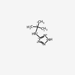 CC(C)(C)Bc1nn[nH]n1